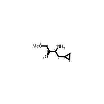 COCC(=O)C(N)CC1CC1